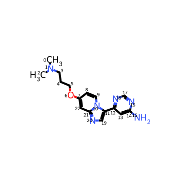 CN(C)CCCOc1ccn2c(-c3cc(N)ncn3)cnc2c1